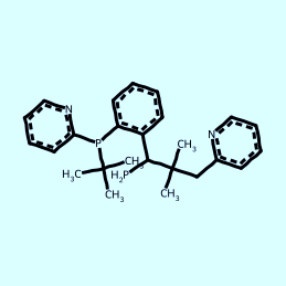 CC(C)(Cc1ccccn1)C(P)c1ccccc1P(c1ccccn1)C(C)(C)C